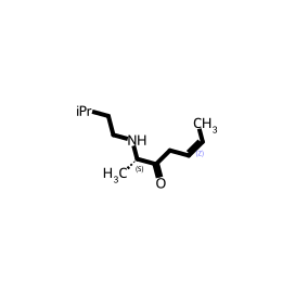 C/C=C\CC(=O)[C@H](C)NCCC(C)C